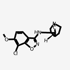 COc1ccc2c(N[C@@H]3CN4CCC3CC4)noc2c1Cl